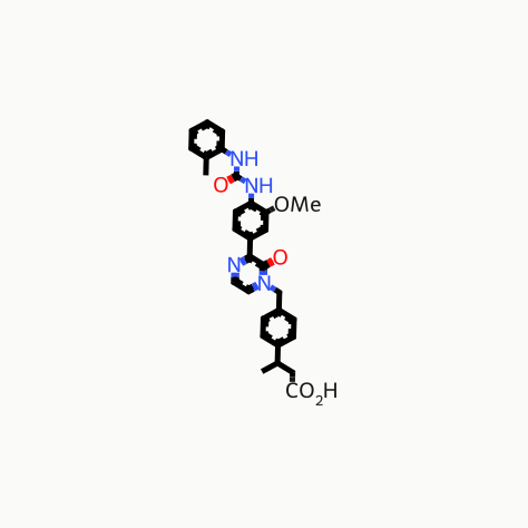 COc1cc(-c2nccn(Cc3ccc(C(C)CC(=O)O)cc3)c2=O)ccc1NC(=O)Nc1ccccc1C